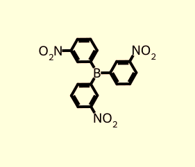 O=[N+]([O-])c1cccc(B(c2cccc([N+](=O)[O-])c2)c2cccc([N+](=O)[O-])c2)c1